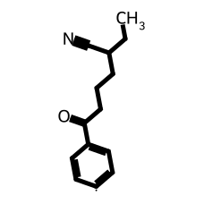 CCC(C#N)CCCC(=O)c1cc[c]cc1